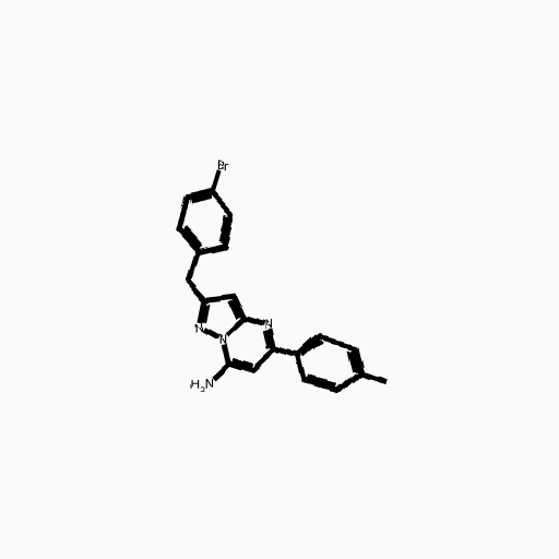 Cc1ccc(-c2cc(N)n3nc(Cc4ccc(Br)cc4)cc3n2)cc1